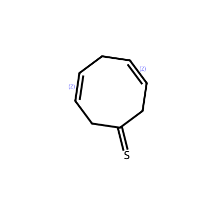 S=C1C/C=C\C/C=C\C1